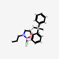 CCCN1C[C@H](C[Si](C)(c2ccccc2)c2ccccc2)OP1Cl